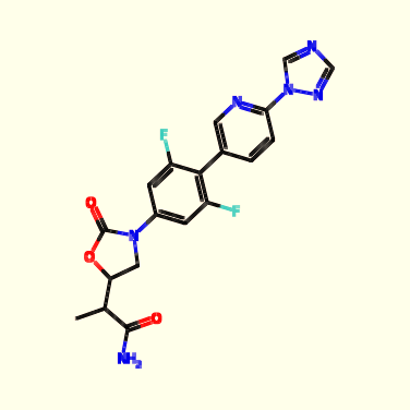 CC(C(N)=O)C1CN(c2cc(F)c(-c3ccc(-n4cncn4)nc3)c(F)c2)C(=O)O1